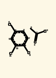 CC(=O)Cl.Clc1ccc(Cl)c(Cl)c1